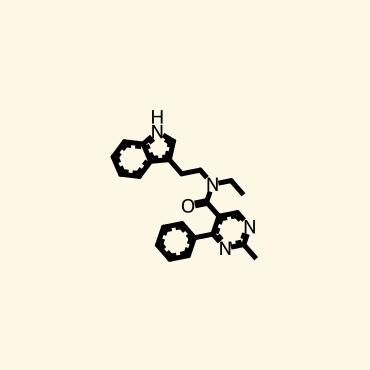 CCN(CCc1c[nH]c2ccccc12)C(=O)c1cnc(C)nc1-c1ccccc1